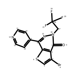 O=c1c2c(Br)csc2c(-c2ccncc2)nn1CC(F)(F)F